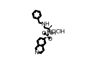 C[C@H](CNCc1ccccc1)NS(=O)(=O)c1ccc2cnccc2c1.Cl.Cl